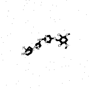 COc1cc(OC)c(Cl)c(COc2cnc(Nc3cnn([C@H]4C[C@@H]5CC4=CN5)c3)nc2)c1Cl